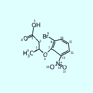 CC(CC(=O)O)Oc1c(Br)cccc1[N+](=O)[O-]